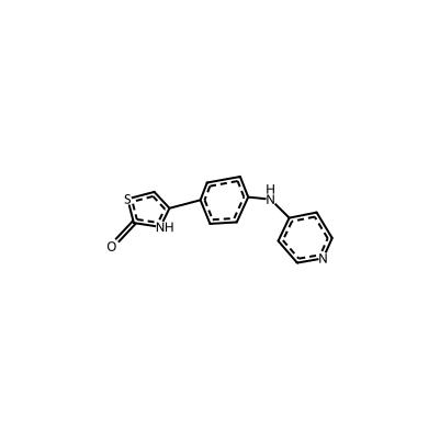 O=c1[nH]c(-c2ccc(Nc3ccncc3)cc2)cs1